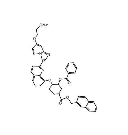 COCCOc1ccn2c(-c3ccc4cccc(OC5CCN(C(=O)OCc6ccc7ccccc7c6)CC5OC(=O)c5ccccc5)c4n3)cnc2c1